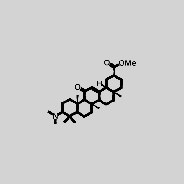 COC(=O)[C@H]1CC[C@]2(C)CCC3C(=CC(=O)C4[C@@]3(C)CCC3C(C)(C)C(N(C)C)CC[C@@]34C)[C@@H]2C1